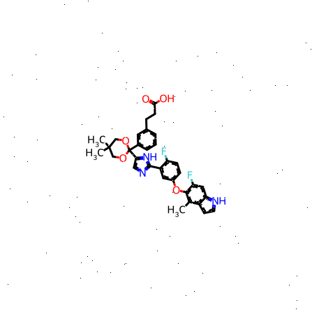 Cc1c(Oc2ccc(F)c(-c3ncc(C4(c5cccc(CCC(=O)O)c5)OCC(C)(C)CO4)[nH]3)c2)c(F)cc2[nH]ccc12